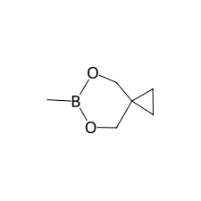 CB1OCC2(CC2)CO1